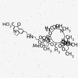 CC[C@H]1OC(=O)[C@H](C)[C@@H](O[C@H]2C[C@@](C)(OC)[C@@H](OC(=O)CCNCCCc3cc4c5c(c3)c(=O)c(C(=O)O)cn5CC4)[C@H](C)O2)[C@H](C)[C@@H](O[C@@H]2O[C@H](C)C[C@H](N(C)C)[C@H]2O)[C@](C)(O)C[C@@H](C)CN(C)C[C@H](O)[C@]1(C)O